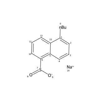 CCCCc1cccc2c(S(=O)[O-])cccc12.[Na+]